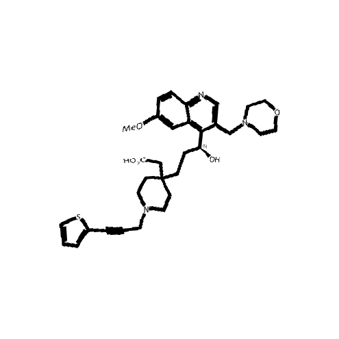 COc1ccc2ncc(CN3CCOCC3)c([C@@H](O)CCC3(CC(=O)O)CCN(CC#Cc4cccs4)CC3)c2c1